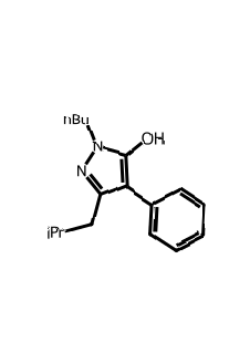 CCCCn1nc(CC(C)C)c(-c2ccccc2)c1O